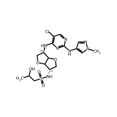 CC(O)CS(=O)(=O)N[C@H]1COC2C1OC[C@H]2Nc1nc(Nc2cnn(C)c2)ncc1Cl